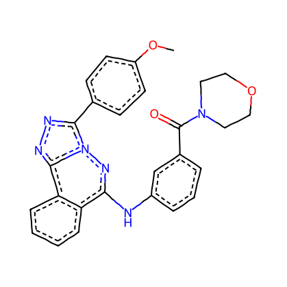 COc1ccc(-c2nnc3c4ccccc4c(Nc4cccc(C(=O)N5CCOCC5)c4)nn23)cc1